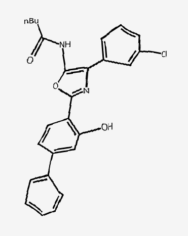 CCCCC(=O)Nc1oc(-c2ccc(-c3ccccc3)cc2O)nc1-c1cccc(Cl)c1